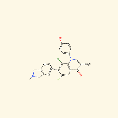 CN1Cc2ccc(-c3c(F)cc4c(=O)c(C(=O)O)cn(-c5ccc(O)cc5)c4c3Cl)cc2C1